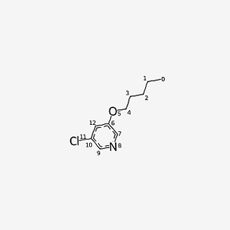 CCCCCOc1cncc(Cl)c1